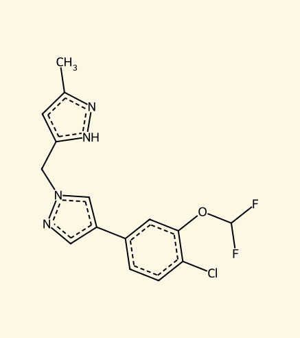 Cc1cc(Cn2cc(-c3ccc(Cl)c(OC(F)F)c3)cn2)[nH]n1